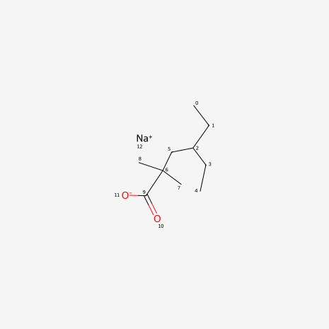 CCC(CC)CC(C)(C)C(=O)[O-].[Na+]